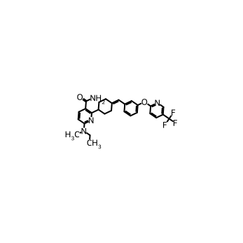 CCN(C)c1ccc(C(N)=O)c(C2CCC(=Cc3cccc(Oc4ccc(C(F)(F)F)cn4)c3)CC2)n1